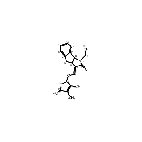 CC1=C(C)C(O/C=C2/C(=O)N(CC#N)C3c4ccccc4CC23)OC1=O